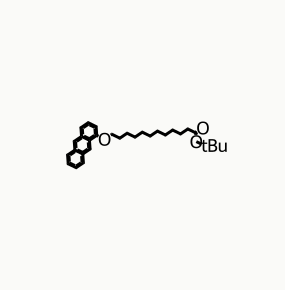 CC(C)(C)OC(=O)CCCCCCCCCCCOc1cccc2cc3ccccc3cc12